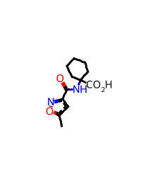 Cc1cc(C(=O)NC2(C(=O)O)CCCCC2)no1